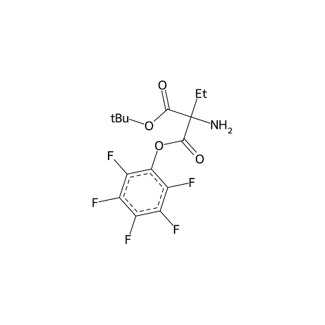 CCC(N)(C(=O)Oc1c(F)c(F)c(F)c(F)c1F)C(=O)OC(C)(C)C